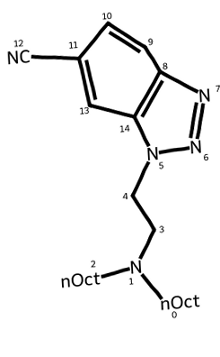 CCCCCCCCN(CCCCCCCC)CCn1nnc2ccc(C#N)cc21